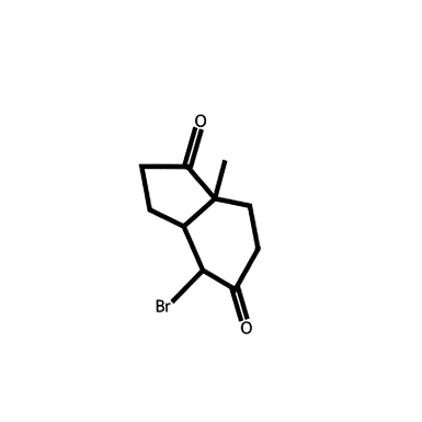 CC12CCC(=O)C(Br)C1CCC2=O